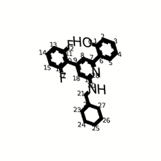 Oc1ccccc1-c1cc(-c2c(F)cccc2F)cc(NCC2CCCCC2)n1